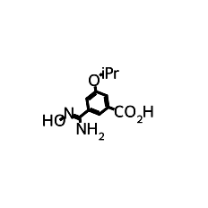 CC(C)Oc1cc(C(=O)O)cc(/C(N)=N/O)c1